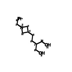 C[C](C)CN1CC(CCC(CO)CO)C1